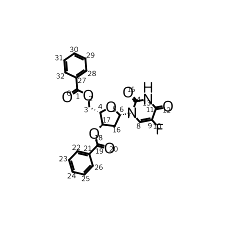 O=C(OC[C@@H]1O[C@H](n2cc(F)c(=O)[nH]c2=O)C[C@H]1OC(=O)c1ccccc1)c1ccccc1